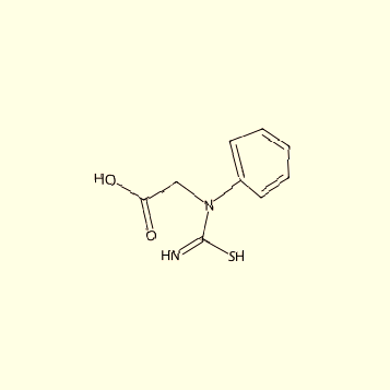 N=C(S)N(CC(=O)O)c1ccccc1